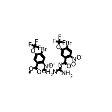 COC(=O)c1cc(OC(F)(F)F)c(Br)cc1[N+](=O)[O-].NC(N)=NC(=O)c1cc(OC(F)(F)F)c(Br)cc1[N+](=O)[O-]